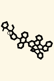 C=Cc1c(-c2ccccc2C)oc2ccc(-c3c4ccccc4c(-c4ccc5c6c(c7ccccc7c5c4)-c4c(ccc5ccccc45)C64c5ccccc5-c5ccccc54)c4ccccc34)cc12